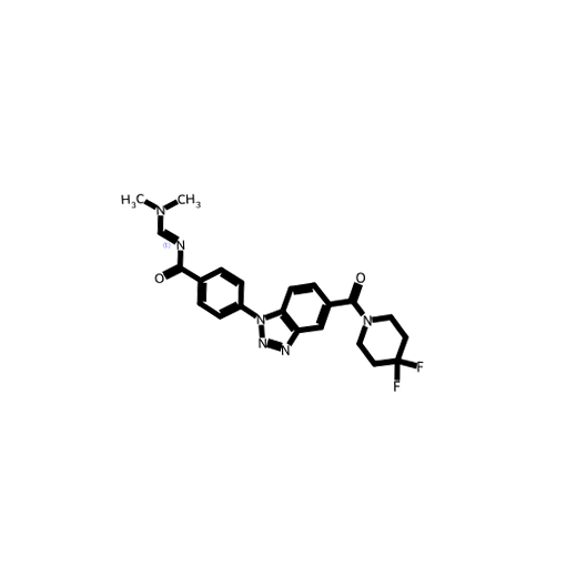 CN(C)/C=N/C(=O)c1ccc(-n2nnc3cc(C(=O)N4CCC(F)(F)CC4)ccc32)cc1